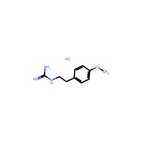 Cl.N=C(N)NCCc1ccc(OC(F)(F)F)cc1